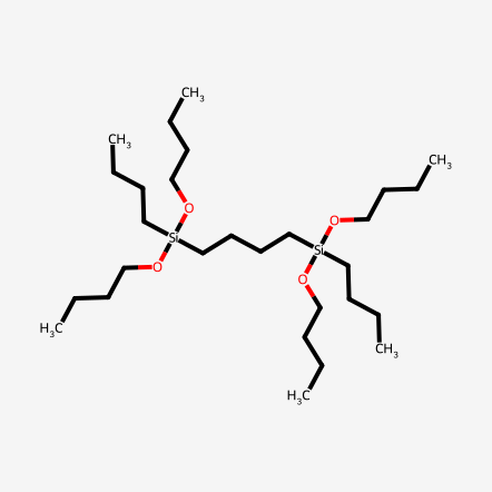 CCCCO[Si](CCCC)(CCCC[Si](CCCC)(OCCCC)OCCCC)OCCCC